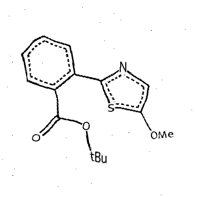 COc1cnc(-c2ccccc2C(=O)OC(C)(C)C)s1